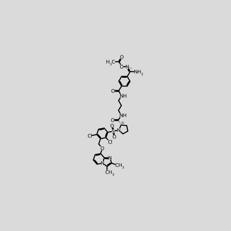 CC(=O)O/N=C(/N)c1ccc(C(=O)NCCCNC(=O)[C@@H]2CCCN2S(=O)(=O)c2ccc(Cl)c(COc3cccn4c(C)c(C)nc34)c2Cl)cc1